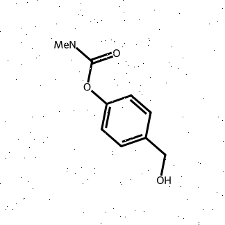 CNC(=O)Oc1ccc(CO)cc1